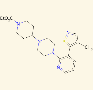 CCOC(=O)N1CCC(N2CCN(c3ncccc3-c3sncc3C)CC2)CC1